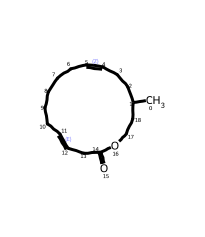 CC1CC/C=C\CCCCC/C=C/CC(=O)OCC1